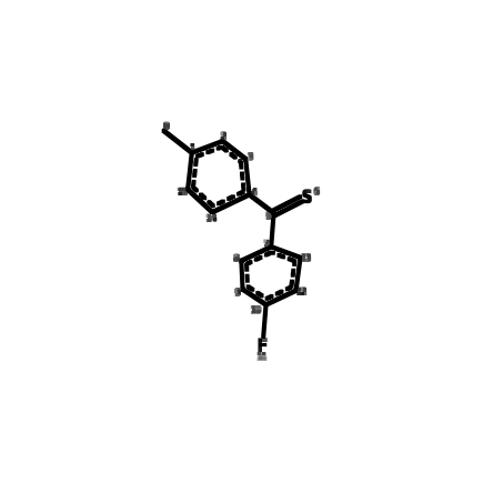 Cc1ccc(C(=S)c2ccc(F)cc2)cc1